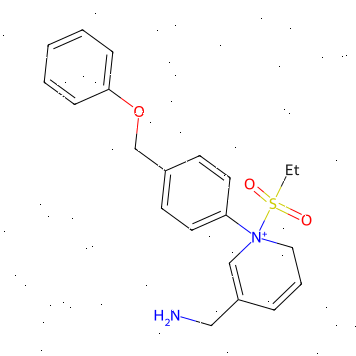 CCS(=O)(=O)[N+]1(c2ccc(COc3ccccc3)cc2)C=C(CN)C=CC1